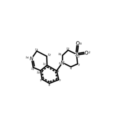 O=S1(=O)CCN(c2cccc3c2CCN=C3)CC1